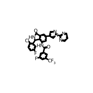 O=C(Nc1cc(-c2cnn(-c3ncccn3)c2)cc2c1C(c1cc(F)ccc1Cl)NC2=O)c1cc(F)cc(C(F)(F)F)c1